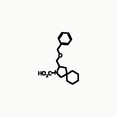 O=C(O)N1CC2(CCCCC2)CC1COCc1ccccc1